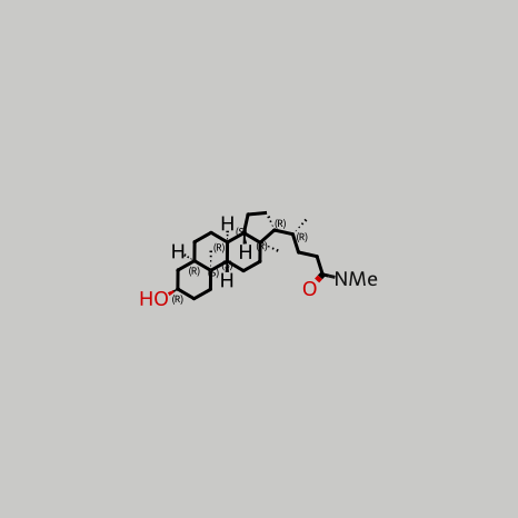 CNC(=O)CC[C@@H](C)[C@H]1CC[C@H]2[C@@H]3CC[C@@H]4C[C@H](O)CC[C@]4(C)[C@H]3CC[C@]12C